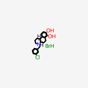 Br.Oc1ccc2c(c1O)CC[C@H]1[C@H]2CCCN1Cc1cccc(Cl)c1